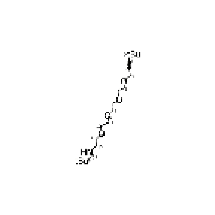 CC(C)(C)C#CCOCCOCCOCCOCCNCC(C)(C)C